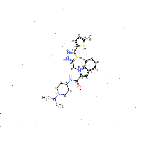 CC(C)N1CCC(NC(=O)c2cc3ccccc3n2Cc2nnc(-c3ccc(Cl)s3)s2)CC1